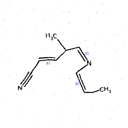 C/C=C\N=C/C(C)/C=C/C#N